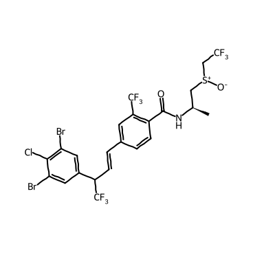 C[C@H](C[S+]([O-])CC(F)(F)F)NC(=O)c1ccc(/C=C/C(c2cc(Br)c(Cl)c(Br)c2)C(F)(F)F)cc1C(F)(F)F